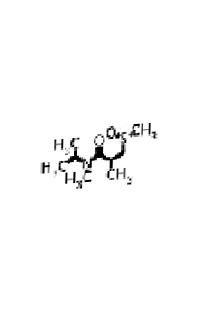 CC(C[S+](C)[O-])C(=O)N(C)C(C)C